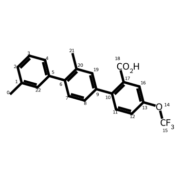 Cc1cccc(-c2ccc(-c3ccc(OC(F)(F)F)cc3C(=O)O)cc2C)c1